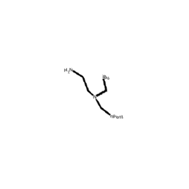 CCCCCCN(CCN)CC(C)CC